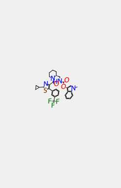 Cn1cc(OC(=O)NC[C@@H]2CCCCN2C(=O)c2nc(C3CC3)sc2-c2cccc(C(F)(F)F)c2)c2ccccc21